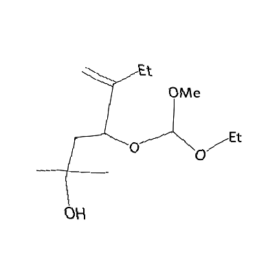 C=C(CC)C(CC(C)(C)O)OC(OC)OCC